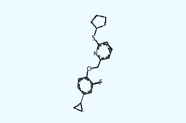 Fc1cc(C2[CH]C2)ccc1OCc1cccc(SC2CCCC2)n1